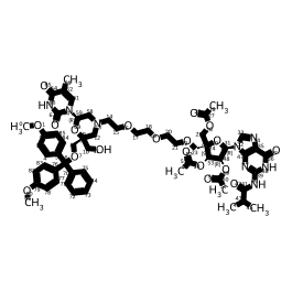 COc1ccc(C(OC[C@]2(CO)CN(CCOCCOCCOC[C@]3(COC(C)=O)O[C@@H](n4cnc5c(=O)[nH]c(NC(=O)C(C)C)nc54)[C@H](OC(C)=O)[C@@H]3OC(C)=O)C[C@H](n3cc(C)c(=O)[nH]c3=O)O2)(c2ccccc2)c2ccc(OC)cc2)cc1